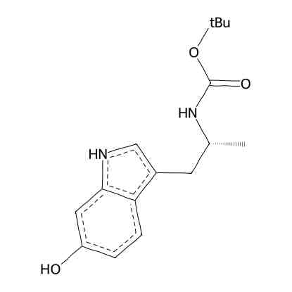 C[C@H](Cc1c[nH]c2cc(O)ccc12)NC(=O)OC(C)(C)C